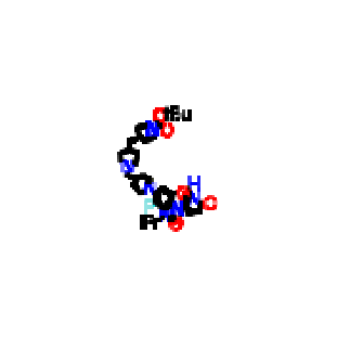 CC(C)n1c(=O)n(C2CCC(=O)NC2=O)c2ccc(N3CCC(CN4CCC(CC5CCN(C(=O)OC(C)(C)C)CC5)CC4)CC3)c(F)c21